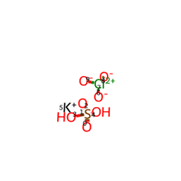 O=S(=O)(O)O.[K+].[O-][Cl+2]([O-])[O-]